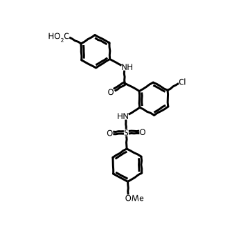 COc1ccc(S(=O)(=O)Nc2ccc(Cl)cc2C(=O)Nc2ccc(C(=O)O)cc2)cc1